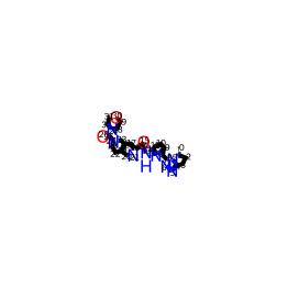 C[C@@H]1CCc2nnc(-c3cccc(NC(=O)c4cc5c(cn4)CCN(C(=O)N4CCOCC4)C5)n3)n21